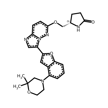 CC1(C)CN(c2cccc3oc(-c4cnc5ccc(OC[C@@H]6CCC(=O)N6)nn45)cc23)CCO1